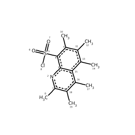 Cc1nc2c(S(=O)(=O)Cl)c(C)c(C)c(C)c2c(C)c1C